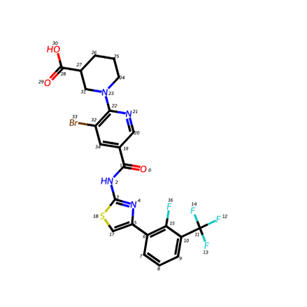 O=C(Nc1nc(-c2cccc(C(F)(F)F)c2F)cs1)c1cnc(N2CCCC(C(=O)O)C2)c(Br)c1